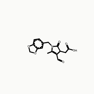 CC1=C(C=O)C(CC(=O)O)C(=O)N1Cc1ccc2c(c1)OCO2